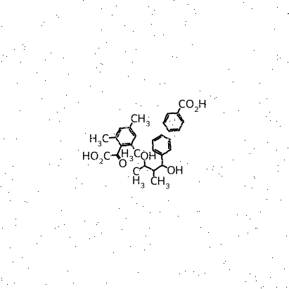 CC(O)C(C)C(O)c1ccccc1.Cc1cc(C)c(C(=O)C(=O)O)c(C)c1.O=C(O)c1ccccc1